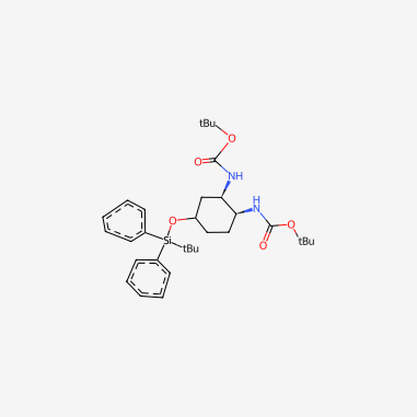 CC(C)(C)OC(=O)N[C@H]1CCC(O[Si](c2ccccc2)(c2ccccc2)C(C)(C)C)C[C@H]1NC(=O)OC(C)(C)C